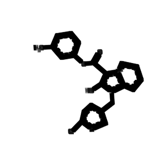 Cc1cccc(OC(=O)c2c(O)n(Cc3ccc(Cl)nc3)c3cccc[n+]23)c1